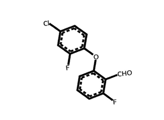 O=Cc1c(F)cccc1Oc1ccc(Cl)cc1F